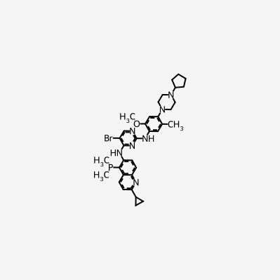 COc1cc(N2CCN(C3CCCC3)CC2)c(C)cc1Nc1ncc(Br)c(Nc2ccc3nc(C4CC4)ccc3c2P(C)C)n1